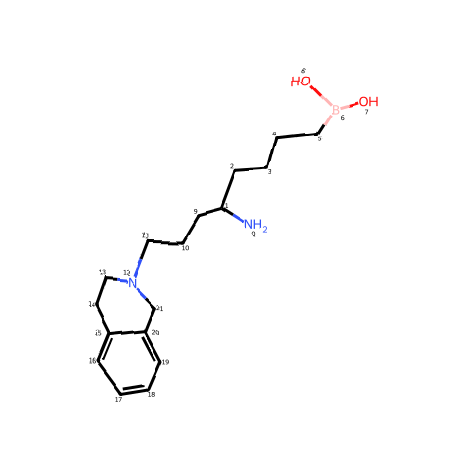 NC(CCCCB(O)O)CCCN1CCc2ccccc2C1